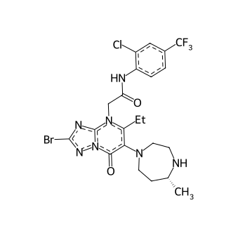 CCc1c(N2CCN[C@H](C)CC2)c(=O)n2nc(Br)nc2n1CC(=O)Nc1ccc(C(F)(F)F)cc1Cl